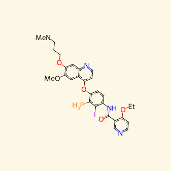 CCOc1ccncc1C(=O)Nc1ccc(Oc2ccnc3cc(OCCCNC)c(OC)cc23)c(P)c1I